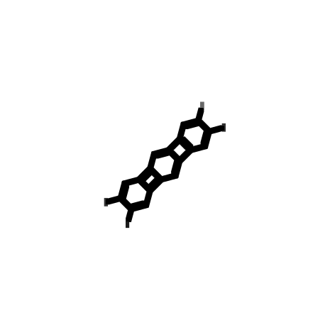 Ic1cc2c(cc1I)c1cc3c4cc(I)c(I)cc4c3cc21